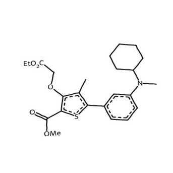 CCOC(=O)COc1c(C(=O)OC)sc(-c2cccc(N(C)C3CCCCC3)c2)c1C